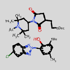 CCCCCCCCCCCCC1CC(=O)N(C2CC(C)(C)N(C(C)=O)C(C)(C)C2)C1=O.Cc1cc(-n2nc3ccc(Cl)cc3n2)c(O)c(C(C)(C)C)c1